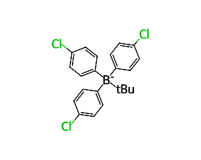 CC(C)(C)[B-](c1ccc(Cl)cc1)(c1ccc(Cl)cc1)c1ccc(Cl)cc1